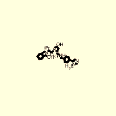 CC(C)[C@@H](C(=O)N1C[C@H](O)C[C@H]1C(=O)NCc1ccc(-c2cncn2C)cc1)N1Cc2ccccc2C1O